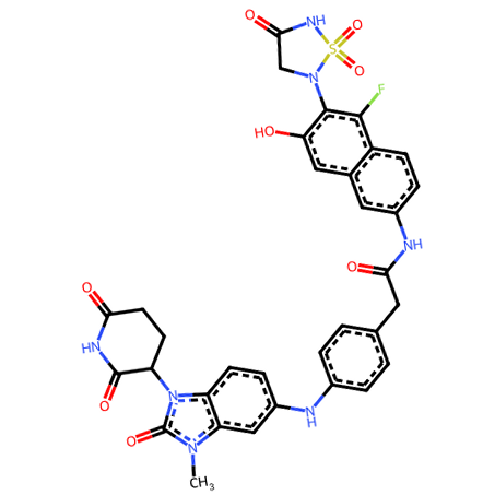 Cn1c(=O)n(C2CCC(=O)NC2=O)c2ccc(Nc3ccc(CC(=O)Nc4ccc5c(F)c(N6CC(=O)NS6(=O)=O)c(O)cc5c4)cc3)cc21